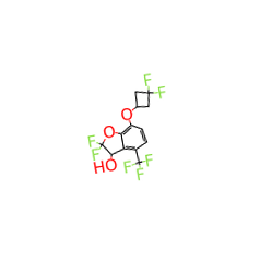 OC1c2c(C(F)(F)F)ccc(OC3CC(F)(F)C3)c2OC1(F)F